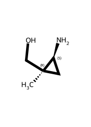 C[C@@]1(CO)C[C@@H]1N